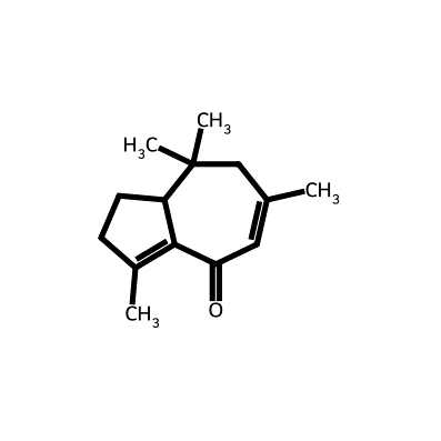 CC1=CC(=O)C2=C(C)CCC2C(C)(C)C1